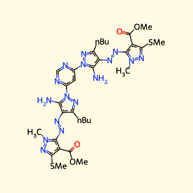 CCCCc1nn(-c2cc(-n3nc(CCCC)c(/N=N/c4c(C(=O)OC)c(SC)nn4C)c3N)ncn2)c(N)c1/N=N/c1c(C(=O)OC)c(SC)nn1C